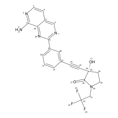 Nc1nccc2cnc(-c3cccc(C#C[C@@]4(O)CCN(CC(F)(F)F)C4=O)c3)nc12